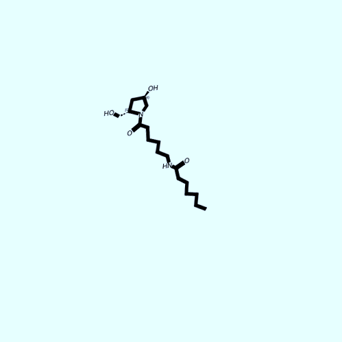 CCCCCCC(=O)NCCCCCC(=O)N1C[C@H](O)C[C@H]1CO